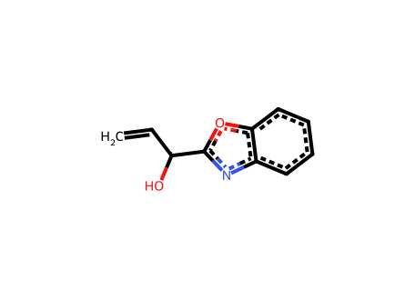 C=C[C](O)c1nc2ccccc2o1